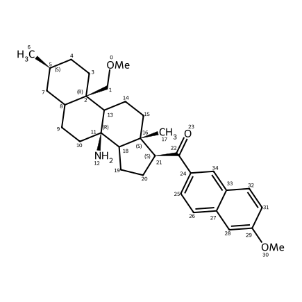 COC[C@]12CC[C@H](C)CC1CC[C@]1(N)C2CC[C@@]2(C)C1CC[C@@H]2C(=O)c1ccc2cc(OC)ccc2c1